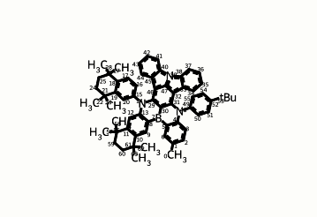 Cc1ccc2c(c1)B1c3cc4c(cc3N(c3ccc5c(c3)C(C)(C)CCC5(C)C)c3c1c(c1c5ccccc5n5c6ccccc6c3c15)N2c1ccc(C(C)(C)C)cc1)C(C)(C)CCC4(C)C